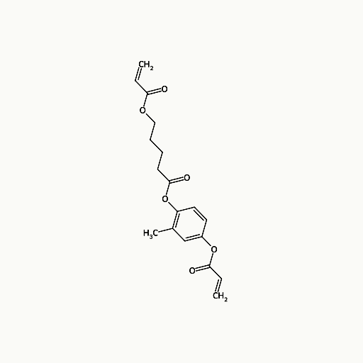 C=CC(=O)OCCCCC(=O)Oc1ccc(OC(=O)C=C)cc1C